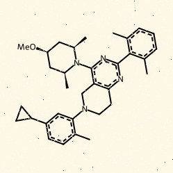 CO[C@H]1C[C@@H](C)N(c2nc(-c3c(C)cccc3C)nc3c2CN(c2cc(C4CC4)ccc2C)CC3)[C@@H](C)C1